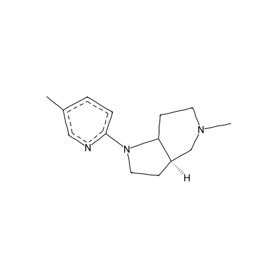 Cc1ccc(N2CC[C@@H]3CN(C)CCC32)nc1